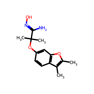 Cc1oc2cc(OC(C)(C)C(N)=NO)ccc2c1C